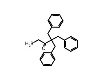 BCC(=O)C(Cc1ccccc1)(Cc1ccccc1)Cc1ccccc1